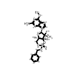 CCOc1nc(N)nc2c1ncn2[C@@H]1O[C@@H]2COP(=O)(OCc3ccccc3)O[C@H]2[C@@]1(C)F